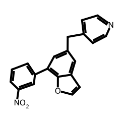 O=[N+]([O-])c1cccc(-c2cc(Cc3ccncc3)cc3ccoc23)c1